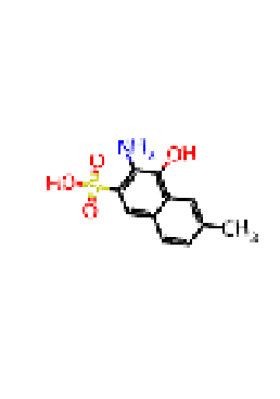 Cc1ccc2cc(S(=O)(=O)O)c(N)c(O)c2c1